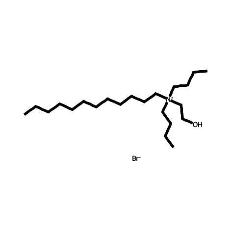 CCCCCCCCCCCC[N+](CCO)(CCCC)CCCC.[Br-]